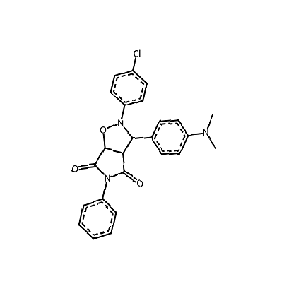 CN(C)c1ccc(C2C3C(=O)N(c4ccccc4)C(=O)C3ON2c2ccc(Cl)cc2)cc1